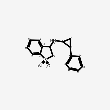 O=S1(=O)CC(NC2CC2c2ccccc2)c2ccccc21